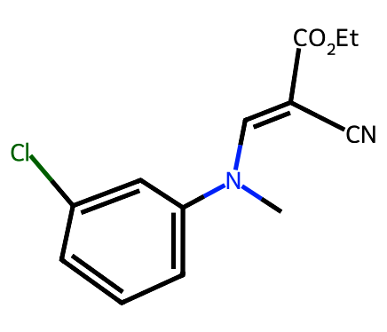 CCOC(=O)C(C#N)=CN(C)c1cccc(Cl)c1